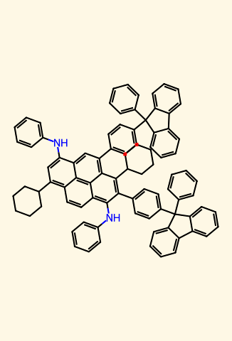 c1ccc(Nc2cc(C3CCCCC3)c3ccc4c(Nc5ccccc5)c(-c5ccc(C6(c7ccccc7)c7ccccc7-c7ccccc76)cc5)c(C5CCCCC5)c5c(-c6ccc(C7(c8ccccc8)c8ccccc8-c8ccccc87)cc6)cc2c3c45)cc1